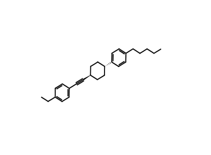 CCCCCc1ccc([C@H]2CC[C@H](C#Cc3ccc(CC)cc3)CC2)cc1